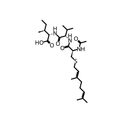 CC[C@H](C)[C@H](NC(=O)[C@@H](NC(=O)[C@H](CSC/C=C(\C)CCC=C(C)C)NC(C)=O)C(C)C)C(=O)O